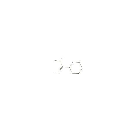 CCN(C)/C(=N\C)C1CCCCC1